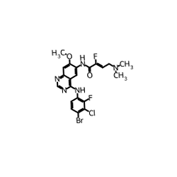 COc1cc2ncnc(Nc3ccc(Br)c(Cl)c3F)c2cc1NC(=O)/C(F)=C/CN(C)C